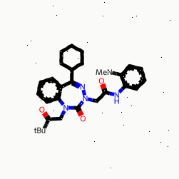 CNc1ccccc1NC(=O)CN1N=C(C2CCCCC2)c2ccccc2N(CC(=O)C(C)(C)C)C1=O